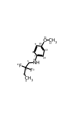 CCC(F)(F)CNc1ccc(OC)cc1